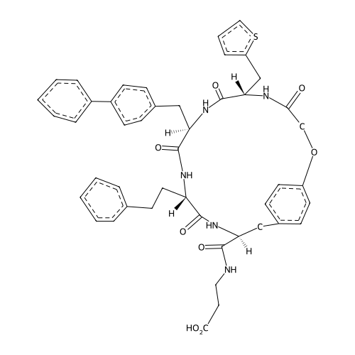 O=C(O)CCNC(=O)[C@@H]1Cc2ccc(cc2)OCC(=O)N[C@@H](Cc2cccs2)C(=O)N[C@H](Cc2ccc(-c3ccccc3)cc2)C(=O)N[C@@H](CCc2ccccc2)C(=O)N1